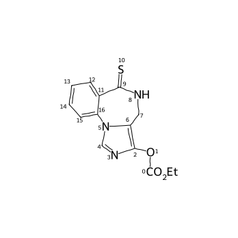 CCOC(=O)Oc1ncn2c1CNC(=S)c1ccccc1-2